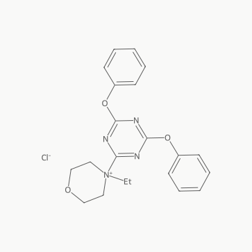 CC[N+]1(c2nc(Oc3ccccc3)nc(Oc3ccccc3)n2)CCOCC1.[Cl-]